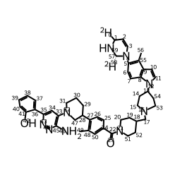 [2H]C1C=CN(c2ccc3c(ccn3C3CCN(CC4CCN(C(=O)c5ccc(C6CCCN(c7cc(-c8ccccc8O)nnc7N)C6)c(C)c5)CC4)CC3)c2C)[C@H]([2H])N1